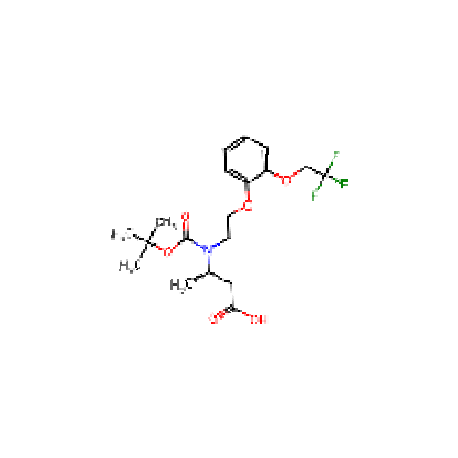 C[C@H](CC(=O)O)N(CCOc1ccccc1OCC(F)(F)F)C(=O)OC(C)(C)C